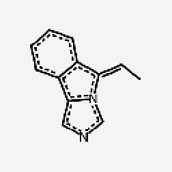 C/C=c1/c2ccccc2c2cncn12